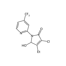 CCC1=C(Cl)C(=O)N(c2cc(C(F)(F)F)ccn2)C1O